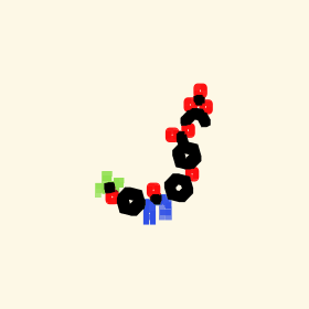 Cc1oc(=O)oc1COC(=O)c1ccc(O[C@H]2CC[C@H](NC(=O)Nc3ccc(OC(F)(F)F)cc3)CC2)cc1